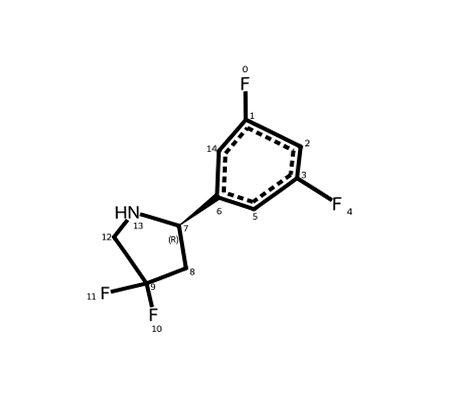 Fc1cc(F)cc([C@H]2CC(F)(F)CN2)c1